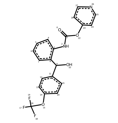 O=C(Nc1ccccc1C(O)c1ccc(OC(F)(F)F)cc1)Oc1ccncc1